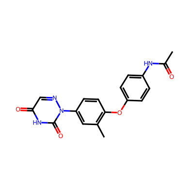 CC(=O)Nc1ccc(Oc2ccc(-n3ncc(=O)[nH]c3=O)cc2C)cc1